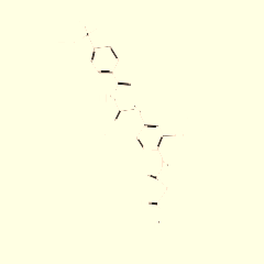 C=C(NC(=O)c1ccc(C(C)(C)C)cc1)Nc1ccc(NC(=O)CC(=O)OC)c(OC)c1